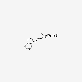 CCCCCC(C)CCCC1CCc2ccccc21